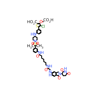 CC(C)(c1cccc(NC(=O)CCCCCCNC(=O)CNc2ccc3c(c2)CN(C2CCC(=O)NC2=O)C3=O)c1)S(=O)(=O)N1CCC(Nc2cccc(-c3sc(C(=O)O)c(OCC(=O)O)c3Cl)c2)CC1